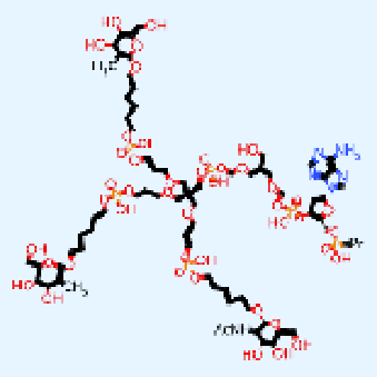 CC(=O)NC1[C@H](OCCCCCCOP(=O)(O)OCCCOCC(COCCCOP(=O)(O)OCCCCCCO[C@@H]2OC(CO)[C@H](O)[C@H](O)C2C)(COCCCOP(=O)(O)OCCCCCCO[C@@H]2OC(CO)[C@H](O)[C@H](O)C2C)COP(=O)(O)OCOCC(CO)COCOP(=O)(O)O[C@H]2C[C@H](n3cnc4c(N)ncnc43)O[C@@H]2COP(=O)(O)C(C)C)OC(CO)[C@H](O)[C@@H]1O